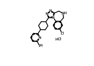 CC(C)c1cccc(C2CCC(c3nnc4n3-c3ccc(Cl)cc3CNC4)CC2)n1.Cl